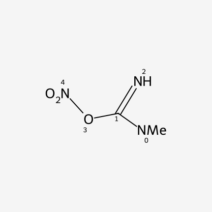 CNC(=N)O[N+](=O)[O-]